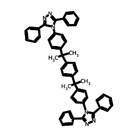 CC(C)(c1ccc(-n2c(-c3ccccc3)nnc2-c2ccccc2)cc1)c1ccc(C(C)(C)c2ccc(-n3c(-c4ccccc4)nnc3-c3ccccc3)cc2)cc1